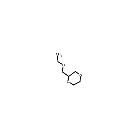 CCOCC1COCCO1